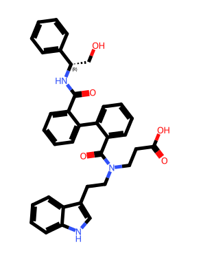 O=C(O)CCN(CCc1c[nH]c2ccccc12)C(=O)c1ccccc1-c1ccccc1C(=O)N[C@@H](CO)c1ccccc1